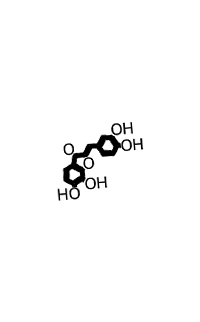 O=C1C(=Cc2ccc(O)c(O)c2)Oc2c1ccc(O)c2O